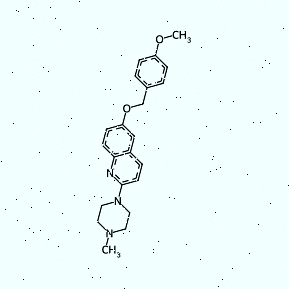 COc1ccc(COc2ccc3nc(N4CCN(C)CC4)ccc3c2)cc1